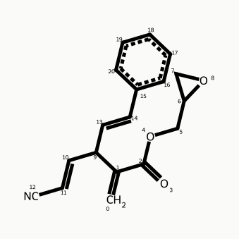 C=C(C(=O)OCC1CO1)C(C=CC#N)C=Cc1ccccc1